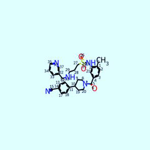 Cc1ccc(C(=O)N2CCC(c3ccc(C#N)cc3)CC2)cc1NS(=O)(=O)CCCNCc1cccnc1